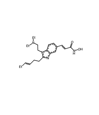 CCC=CCCc1nc2cc(C=CC(=O)NO)ccc2n1CCN(CC)CC